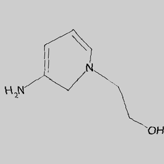 NC1=CC=CN(CCO)C1